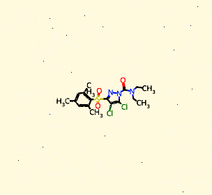 CCN(CC)C(=O)n1nc(S(=O)(=O)c2c(C)cc(C)cc2C)c(Cl)c1Cl